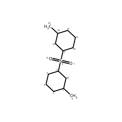 CC1CCCC(S(=O)(=O)C2CCCC(C)C2)C1